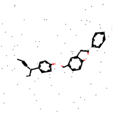 CC#CC(CC(=O)O)c1ccc(OCc2ccc3c(c2)C[C@@H](c2ccc(Cl)cc2)O3)cc1